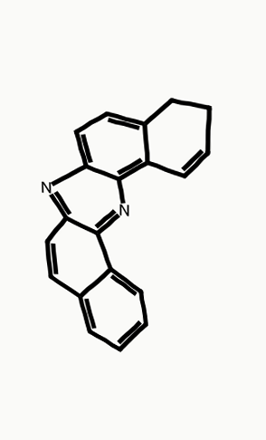 C1=Cc2c(ccc3nc4ccc5ccccc5c4nc23)CC1